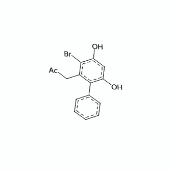 CC(=O)Cc1c(Br)c(O)cc(O)c1-c1ccccc1